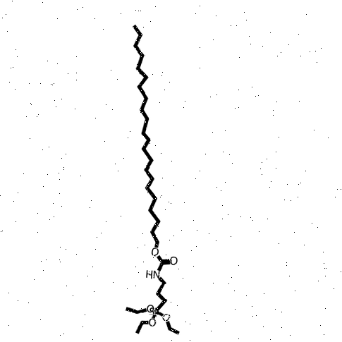 CCCCCCCCCCCCCCCCCCCCCCOC(=O)NCCC[Si](OCC)(OCC)OCC